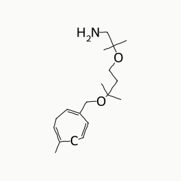 C/C1=C/C/C=C(/COC(C)(C)CCOC(C)(C)CN)C=CC1